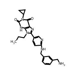 CCCn1c(-c2ccc(NCc3cccc(CN)c3)nc2)nc2c(=O)n(C3CC3)c(=O)[nH]c21